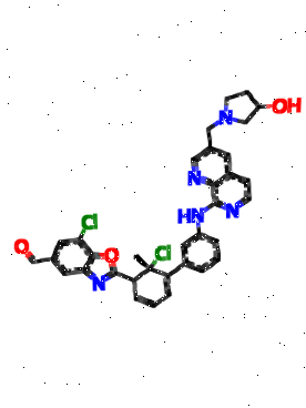 C[C@@]1(Cl)C(c2cccc(Nc3nccc4cc(CN5CCC(O)C5)cnc34)c2)=CC=CC1c1nc2cc(C=O)cc(Cl)c2o1